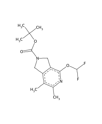 Cc1nc(OC(F)F)c2c(c1C)CN(C(=O)OC(C)(C)C)C2